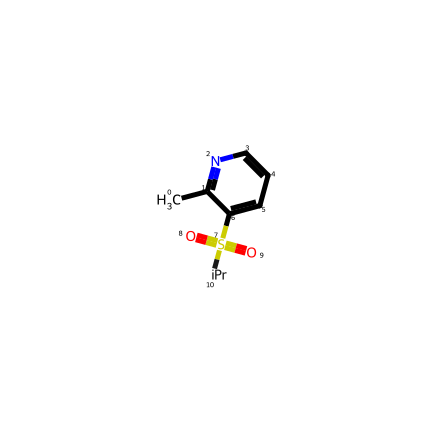 Cc1ncccc1S(=O)(=O)C(C)C